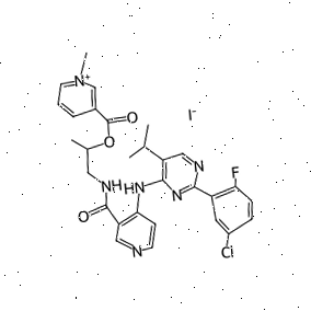 CC(CNC(=O)c1cnccc1Nc1nc(-c2cc(Cl)ccc2F)ncc1C(C)C)OC(=O)c1ccc[n+](C)c1.[I-]